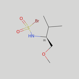 COC[C@@H](NS(=O)(=O)Br)C(C)C